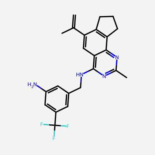 C=C(C)c1cc2c(NCc3cc(N)cc(C(F)(F)F)c3)nc(C)nc2c2c1CCC2